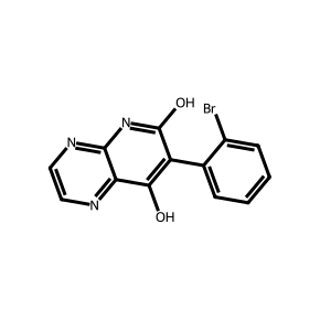 Oc1nc2nccnc2c(O)c1-c1ccccc1Br